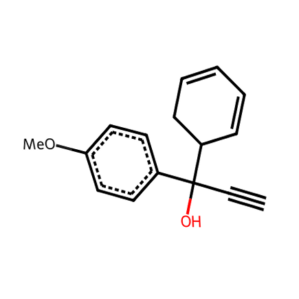 C#CC(O)(c1ccc(OC)cc1)C1C=CC=CC1